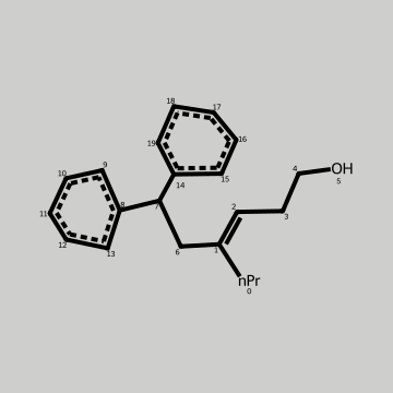 [CH2]CCC(=CCCO)CC(c1ccccc1)c1ccccc1